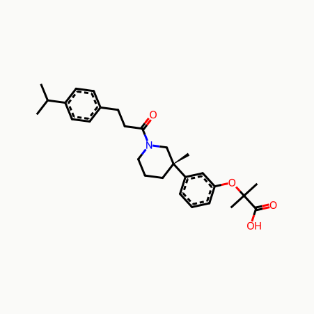 CC(C)c1ccc(CCC(=O)N2CCC[C@@](C)(c3cccc(OC(C)(C)C(=O)O)c3)C2)cc1